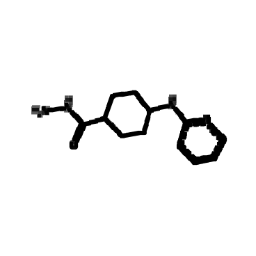 NNC(=O)C1CCC(Nc2ccccn2)CC1